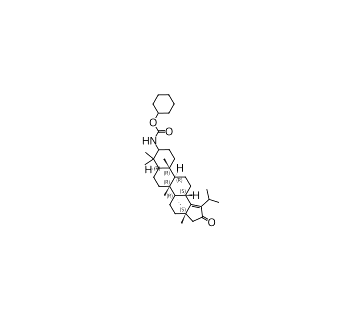 CC(C)C1=C2[C@H]3CC[C@@H]4[C@@]5(C)CCC(NC(=O)OC6CCCCC6)C(C)(C)[C@@H]5CC[C@@]4(C)[C@]3(C)CC[C@@]2(C)CC1=O